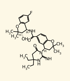 CCC1(CC)CC(=O)N([C@@H]2CC(C)(C)Oc3ccc(C(=O)N[C@@H]4c5cc(F)ccc5OC(C)(C)[C@H]4O)cc32)C(=N)N1